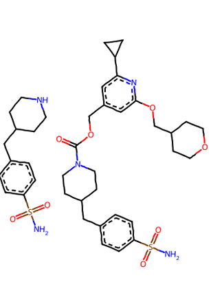 NS(=O)(=O)c1ccc(CC2CCN(C(=O)OCc3cc(OCC4CCOCC4)nc(C4CC4)c3)CC2)cc1.NS(=O)(=O)c1ccc(CC2CCNCC2)cc1